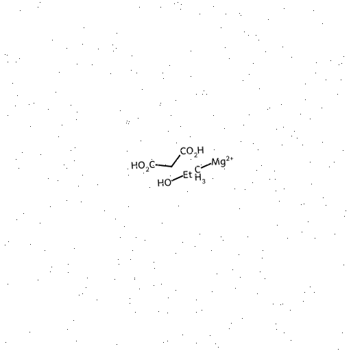 CCO.O=C(O)CC(=O)O.[CH3][Mg+2]